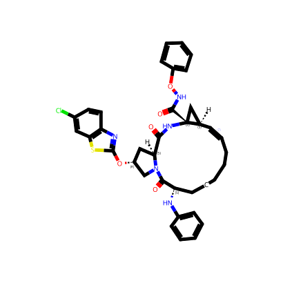 O=C1N[C@]2(C(=O)NOc3ccccc3)C[C@H]2/C=C\CCCCC[C@H](Nc2ccccc2)C(=O)N2C[C@H](Oc3nc4ccc(Cl)cc4s3)C[C@@H]12